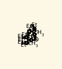 CCN(CC)c1ccc(C)c(C(c2ccc(CS(=O)(=O)Cc3ccc(C(c4cc(N(CC)CC)ccc4C)c4cc(N(CC)CC)ccc4C)cc3)cc2)c2cc(N(CC)CC)ccc2C)c1